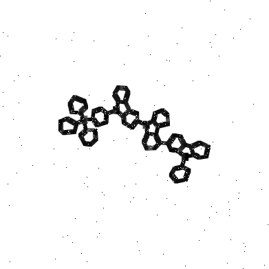 c1ccc(-n2c3ccccc3c3ccc(-c4cccc5c4c4ccccc4n5-c4ccc5c(c4)c4ccccc4n5-c4ccc([Si](c5ccccc5)(c5ccccc5)c5ccccc5)cc4)cc32)cc1